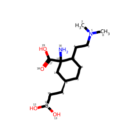 CN(C)CCC1CC[C@@H](CCB(O)O)CC1(N)C(=O)O